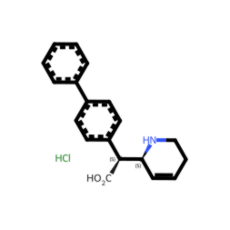 Cl.O=C(O)[C@@H](c1ccc(-c2ccccc2)cc1)[C@@H]1C=CCCN1